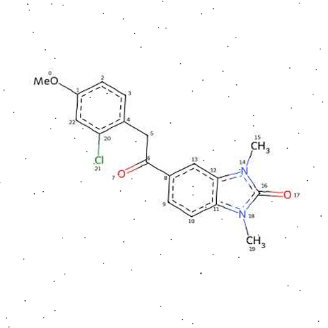 COc1ccc(CC(=O)c2ccc3c(c2)n(C)c(=O)n3C)c(Cl)c1